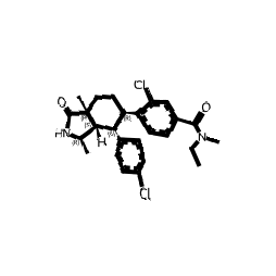 CCN(C)C(=O)c1ccc([C@@H]2CC[C@@]3(C)C(=O)N[C@H](C)[C@H]3[C@H]2c2ccc(Cl)cc2)c(Cl)c1